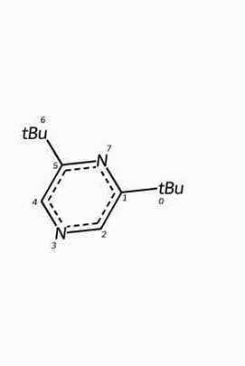 CC(C)(C)c1cncc(C(C)(C)C)n1